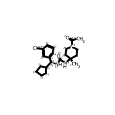 CC(=O)N1CCC(C)(NC(=O)N[C@H](c2cccc(Cl)c2)C2CCCC2)CC1